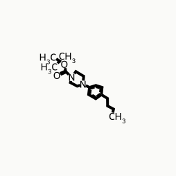 CCCCc1ccc(N2CCN(C(=O)OC(C)(C)C)CC2)cc1